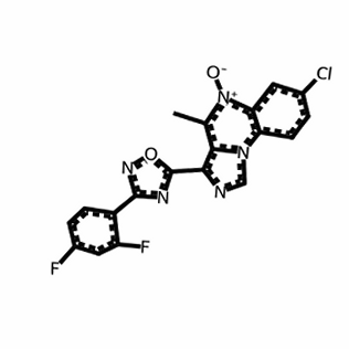 Cc1c2c(-c3nc(-c4ccc(F)cc4F)no3)ncn2c2ccc(Cl)cc2[n+]1[O-]